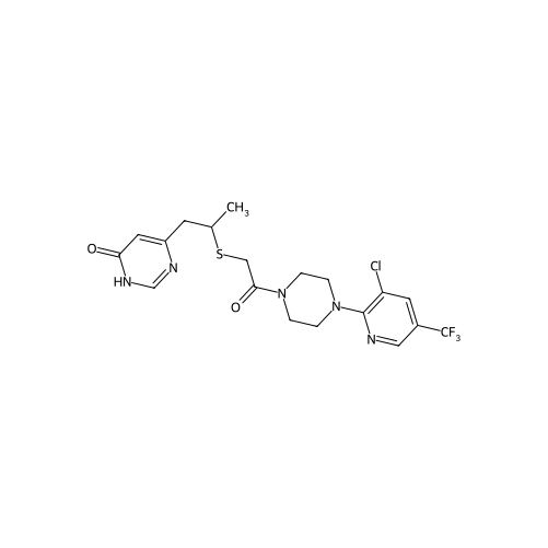 CC(Cc1cc(=O)[nH]cn1)SCC(=O)N1CCN(c2ncc(C(F)(F)F)cc2Cl)CC1